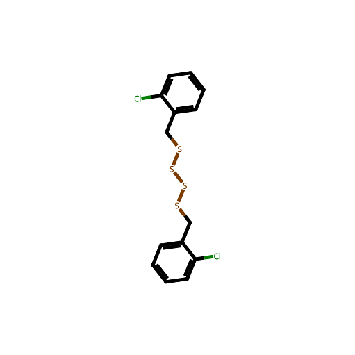 Clc1ccccc1CSSSSCc1ccccc1Cl